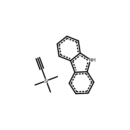 C#C[Si](C)(C)C.c1ccc2c(c1)[nH]c1ccccc12